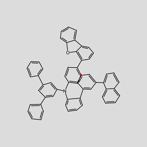 c1ccc(-c2cc(-c3ccccc3)cc(N(c3ccc(-c4cccc5c4oc4ccccc45)cc3)c3ccccc3-c3cccc(-c4cccc5ccccc45)c3)c2)cc1